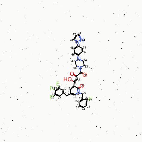 O=C(C=C(O)c1cc(Cc2cc(F)c(F)c(F)c2)cn(Cc2ccccc2F)c1=O)C(=O)N1CCN(c2ccc(-n3cccn3)cc2)CC1